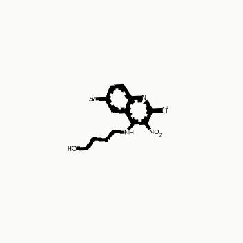 O=[N+]([O-])c1c(Cl)nc2ccc(Br)cc2c1NCCCCO